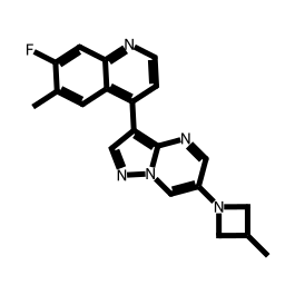 Cc1cc2c(-c3cnn4cc(N5CC(C)C5)cnc34)ccnc2cc1F